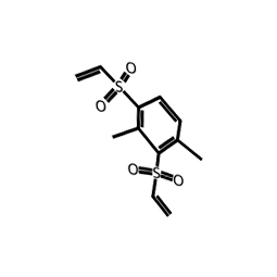 C=CS(=O)(=O)c1ccc(C)c(S(=O)(=O)C=C)c1C